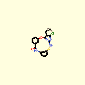 CCc1c(Cl)nc2nc1Oc1cccc(c1)C(=O)Nc1cccc(c1)SN2